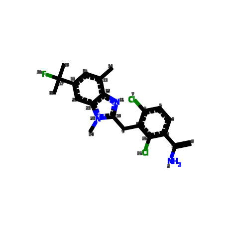 C=C(N)c1ccc(Cl)c(Cc2nc3c(C)cc(C(C)(C)F)cc3n2C)c1Cl